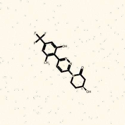 Cc1cc(C(F)(F)F)cc(O)c1-c1ccc(N2CC[C@H](O)CC2=O)nn1